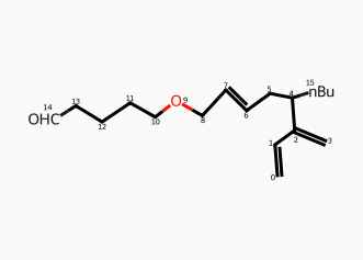 C=CC(=C)C(C/C=C/COCCCCC=O)CCCC